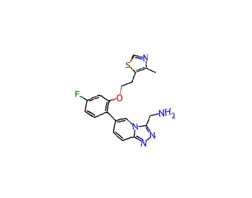 Cc1ncsc1CCOc1cc(F)ccc1-c1ccc2nnc(CN)n2c1